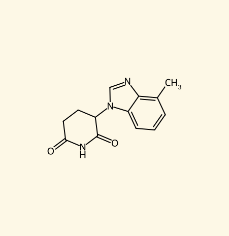 Cc1cccc2c1ncn2C1CCC(=O)NC1=O